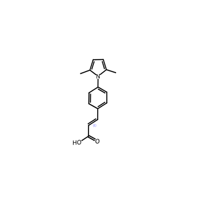 Cc1ccc(C)n1-c1ccc(/C=C/C(=O)O)cc1